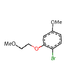 COCCOc1cc(OC)ccc1Br